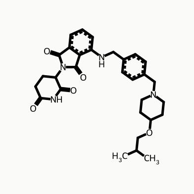 CC(C)COC1CCN(Cc2ccc(CNc3cccc4c3C(=O)N(C3CCC(=O)NC3=O)C4=O)cc2)CC1